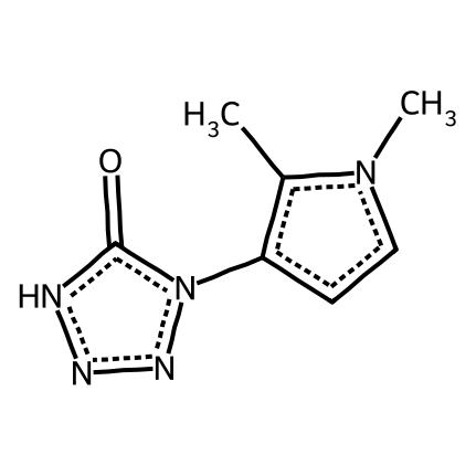 Cc1c(-n2nn[nH]c2=O)ccn1C